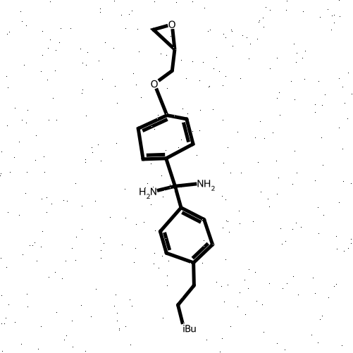 CCC(C)CCc1ccc(C(N)(N)c2ccc(OCC3CO3)cc2)cc1